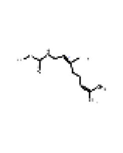 CCC(C)OC(=O)NC/C=C(/C)CCC=C(C)C